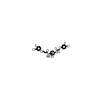 O=C(COc1ccc(Cl)c(F)c1)NC12CCC(NC(=O)CCOc3ccc(F)c(Cl)c3)(CC1)[C@@H](O)C2